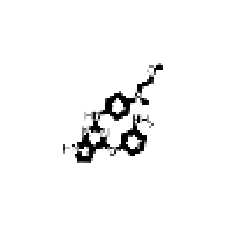 COCCN(C)c1ccc(Nc2nc(Oc3cccc(N)c3)c3cc[nH]c3n2)cc1